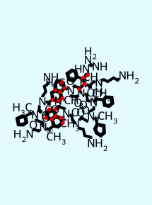 C[C@@H](c1ccccc1)N(CC(N)=O)C(=O)CN(C(=O)CN(CCCCN)C(=O)CN(C(=O)CN(C(=O)CN(CCCCN)C(=O)CN(C(=O)CN(C(=O)CN(CCCCNC(=N)N)C(=O)CN(C(=O)CN(C(=O)CNCCCCN)[C@@H](C)c1ccccc1)[C@@H](C)c1ccccc1)[C@@H](C)c1ccccc1)[C@@H](C)c1ccccc1)[C@@H](C)c1ccccc1)[C@@H](C)c1ccccc1)[C@@H](C)c1ccccc1